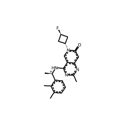 Cc1nc(N[C@H](C)c2cccc(C)c2C)c2cn([C@H]3C[C@H](F)C3)c(=O)cc2n1